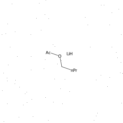 CCCCOC(C)=O.[LiH]